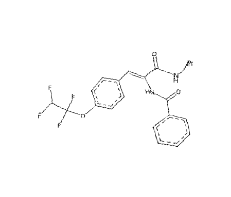 CC(C)NC(=O)C(=Cc1ccc(OC(F)(F)C(F)F)cc1)NC(=O)c1ccccc1